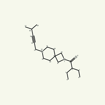 CCC(CC)C(=O)N1CC2(CCN(CC#CC(C)C)CC2)C1